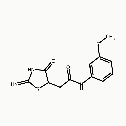 CSc1cccc(NC(=O)CC2SC(=N)NC2=O)c1